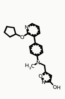 CN(Cc1cc(O)no1)c1ccc(-c2cccnc2OC2CCCC2)cc1